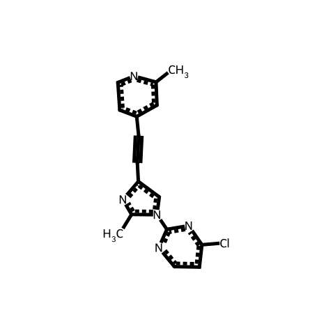 Cc1cc(C#Cc2cn(-c3nccc(Cl)n3)c(C)n2)ccn1